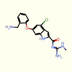 CNC(N)=NC(=O)c1cc2c(Cl)cc(Oc3ccccc3CN)cc2[nH]1